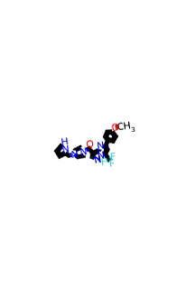 COc1ccc(-c2cc(C(F)(F)F)n3ncc(C(=O)N4CCN(Cc5ccc[nH]5)CC4)c3n2)cc1